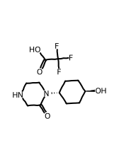 O=C(O)C(F)(F)F.O=C1CNCCN1[C@H]1CC[C@H](O)CC1